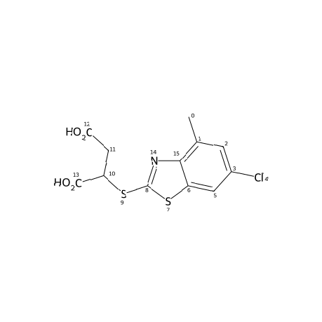 Cc1cc(Cl)cc2sc(SC(CC(=O)O)C(=O)O)nc12